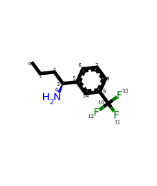 CCC[C@H](N)c1cccc(C(F)(F)F)c1